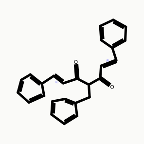 O=C(/C=C/c1ccccc1)C(Cc1ccccc1)C(=O)/C=C/c1ccccc1